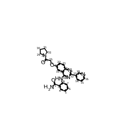 NC(=O)c1ccccc1Nc1nc(-c2cccnc2)nc2ccc(OCC(=O)N3CCCC3)cc12